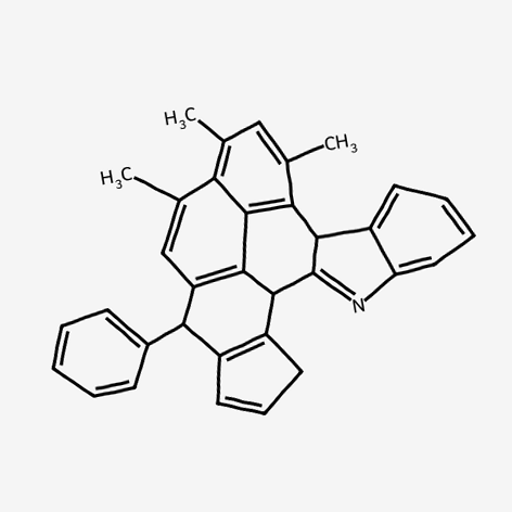 Cc1cc(C)c2c(C)cc3c4c2c1C1C(=Nc2ccccc21)C4C1=C(C=CC1)C3c1ccccc1